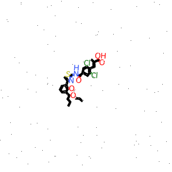 CCCOC(CCC)c1cccc(-c2csc(NC(=O)c3cc(Cl)c(C=C(C)C(=O)O)c(Cl)c3)n2)c1OC